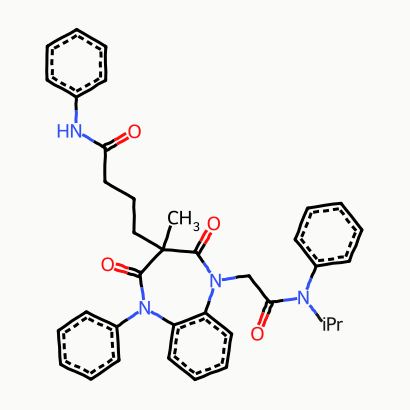 CC(C)N(C(=O)CN1C(=O)C(C)(CCCC(=O)Nc2ccccc2)C(=O)N(c2ccccc2)c2ccccc21)c1ccccc1